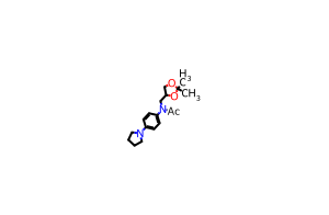 CC(=O)N(CC1COC(C)(C)O1)c1ccc(N2CCCC2)cc1